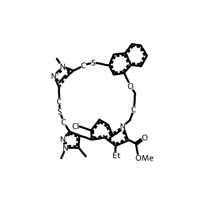 CCc1c(C(=O)OC)n2c3ccc(Cl)c(c13)-c1c(nn(C)c1C)CSCc1cc(n(C)n1)CSc1cc(c3ccccc3c1)OCCC2